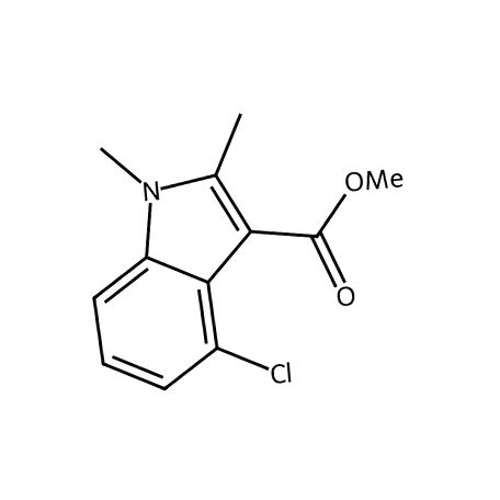 COC(=O)c1c(C)n(C)c2cccc(Cl)c12